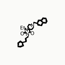 CCN1C(=O)N(C/C=C/c2ccccc2)C(=O)C12CCN(Cc1ccc3ccccc3c1)CC2